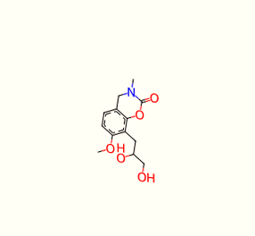 COc1ccc2c(c1CC(O)CO)OC(=O)N(C)C2